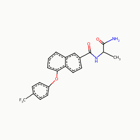 CC(NC(=O)c1ccc2c(Oc3ccc(C(F)(F)F)cc3)cccc2c1)C(N)=O